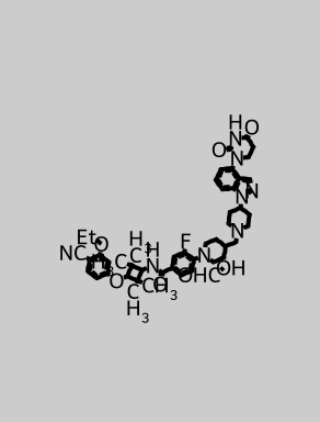 CCOc1cc(OC2C(C)(C)C(NC(=O)c3ccc(N4CCC(CN5CCC(n6ncc7c(N8CCC(=O)NC8=O)cccc76)CC5)CC4)c(F)c3)C2(C)C)ccc1C#N.O=CO